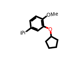 [CH2]C(C)c1ccc(OC)c(OC2CCCC2)c1